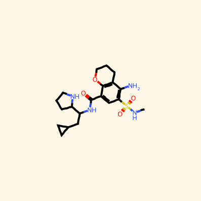 CNS(=O)(=O)c1cc(C(=O)NC(CC2CC2)C2CCCN2)c2c(c1N)CCCO2